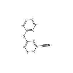 N#Cc1cccc(Oc2c[c]ccc2)c1